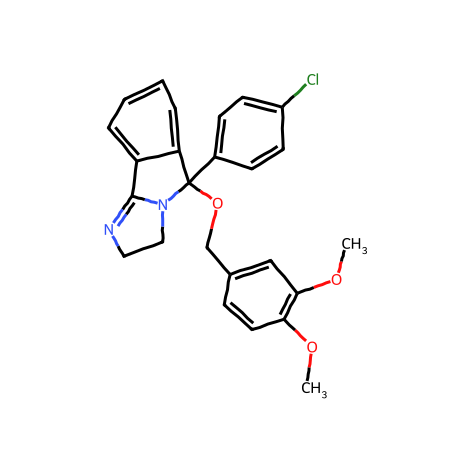 COc1ccc(COC2(c3ccc(Cl)cc3)c3ccccc3C3=NCCN32)cc1OC